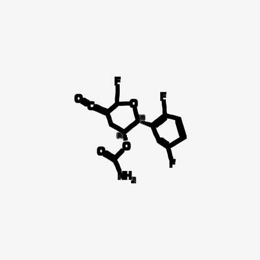 NC(=O)O[C@@H]1CC(=C=O)C(F)O[C@@H]1c1cc(F)ccc1F